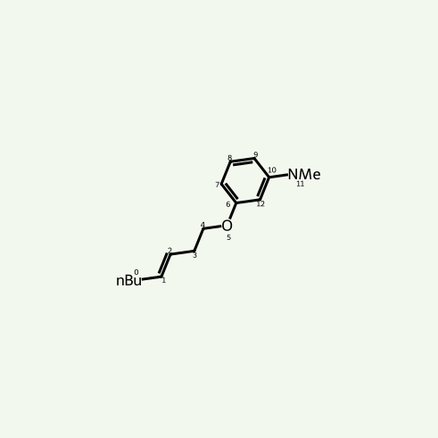 CCCCC=CCCOc1cccc(NC)c1